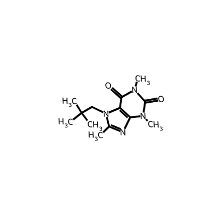 Cc1nc2c(c(=O)n(C)c(=O)n2C)n1CC(C)(C)C